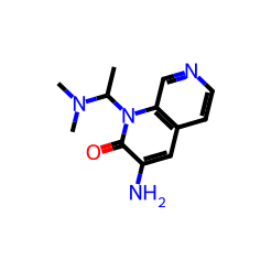 CC(N(C)C)n1c(=O)c(N)cc2ccncc21